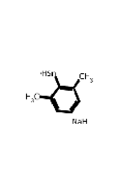 Cc1cccc(C)[c]1[SnH].[NaH]